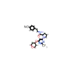 N#Cc1ccc(CCNC(=O)C2CCCN2c2cc(OC3CCOCC3)nc(C(F)(F)F)n2)cc1